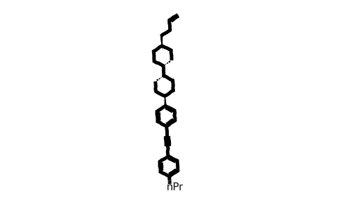 C=CCC[C@H]1CC[C@H]([C@H]2CC[C@H](c3ccc(C#Cc4ccc(CCC)cc4)cc3)CC2)CC1